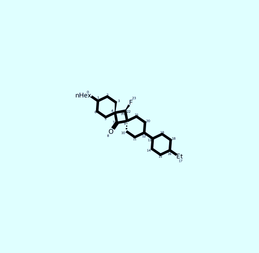 CCCCCCC1CC[C@]2(CC1)C(=O)[C@@]1(CCC(C3CCC(CC)CC3)CC1)[C@@H]2F